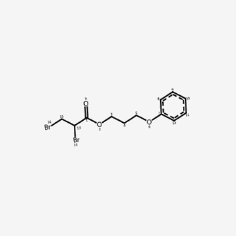 O=C(OCCCOc1ccccc1)C(Br)CBr